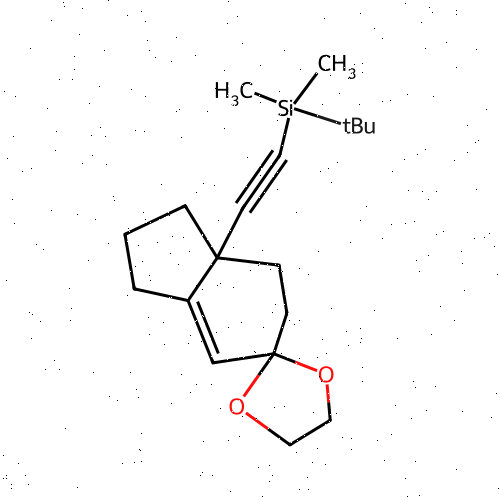 CC(C)(C)[Si](C)(C)C#CC12CCCC1=CC1(CC2)OCCO1